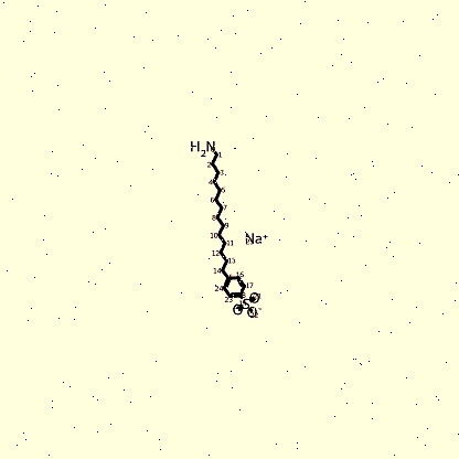 NCCCCCCCCCCCCCCc1ccc(S(=O)(=O)[O-])cc1.[Na+]